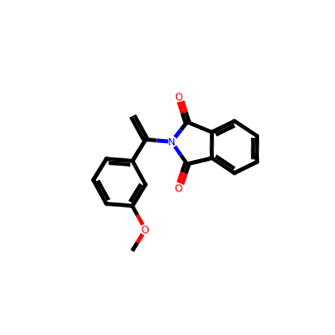 C=C(c1cccc(OC)c1)N1C(=O)c2ccccc2C1=O